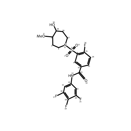 COC1CCN(S(=O)(=O)c2cc(C(=O)Nc3cc(F)c(F)c(F)c3)ccc2F)CCC1O